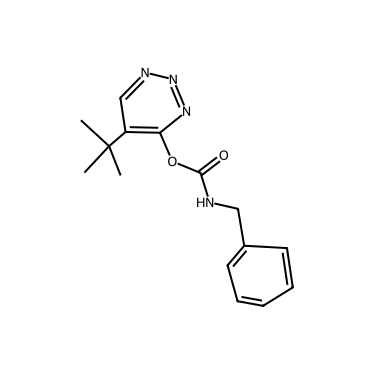 CC(C)(C)c1cnnnc1OC(=O)NCc1ccccc1